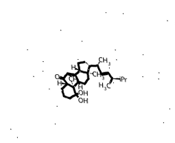 CC(C)[C@@H](C)/C=C/[C@@H](C)[C@H]1CC[C@H]2C3=CC(=O)[C@H]4CCCC(O)(O)[C@]4(C)[C@H]3CC[C@]12C